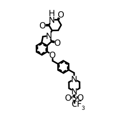 O=C1CCC(N2Cc3cccc(OCc4ccc(CN5CCN(S(=O)(=O)C(F)(F)F)CC5)cc4)c3C2=O)C(=O)N1